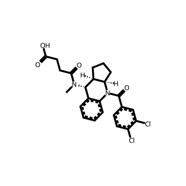 CN(C(=O)CCC(=O)O)[C@H]1c2ccccc2N(C(=O)c2ccc(Cl)c(Cl)c2)[C@@H]2CCC[C@@H]21